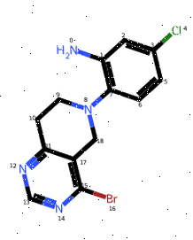 Nc1cc(Cl)ccc1N1CCc2ncnc(Br)c2C1